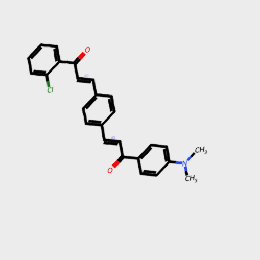 CN(C)c1ccc(C(=O)/C=C/c2ccc(/C=C/C(=O)c3ccccc3Cl)cc2)cc1